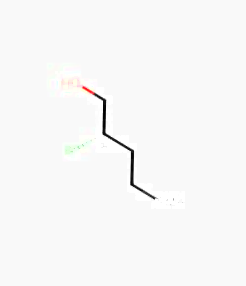 CSCC[C@H](Br)CO